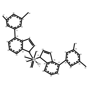 [CH2]=[Hf]([CH3])([CH3])([CH3])([CH2]C)([CH]1C=Cc2c(-c3cc(C)cc(C)c3)cccc21)[CH]1C=Cc2c(-c3cc(C)cc(C)c3)cccc21